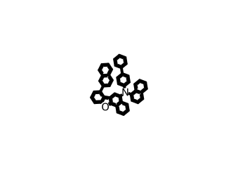 c1ccc(-c2ccc(N(c3cccc4ccccc34)c3cc4c(oc5cccc(-c6ccc7ccccc7c6)c54)c4ccccc34)cc2)cc1